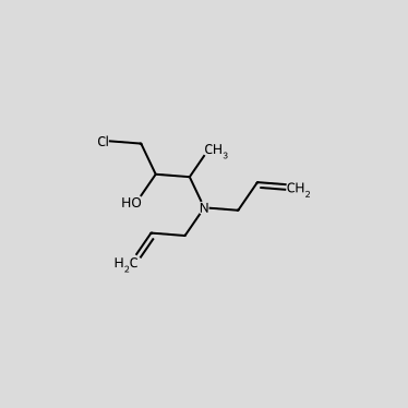 C=CCN(CC=C)C(C)C(O)CCl